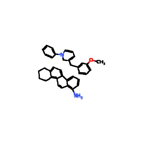 COc1cccc(CC2=CC=CN(c3ccccc3)C2)c1.Nc1cccc2c1ccc1c3c(ccc12)CCCC3